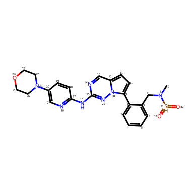 CN(Cc1ccccc1-c1ccc2cnc(Nc3ccc(N4CCOCC4)cn3)nn12)[SH](=O)=O